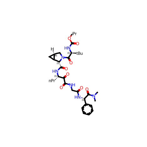 CCC[C@H](NC(=O)[C@@H]1C2C[C@H]2CN1C(=O)[C@@H](NC(=O)OC(C)C)C(C)(C)C)C(=O)C(=O)NCC(=O)N[C@H](C(=O)N(C)C)c1ccccc1